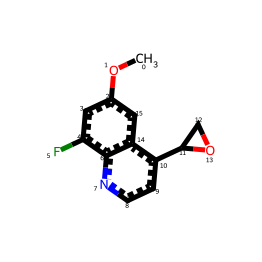 COc1cc(F)c2nccc(C3CO3)c2c1